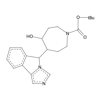 CC(C)(C)OC(=O)N1CCC(O)C(C2c3ccccc3-c3cncn32)CC1